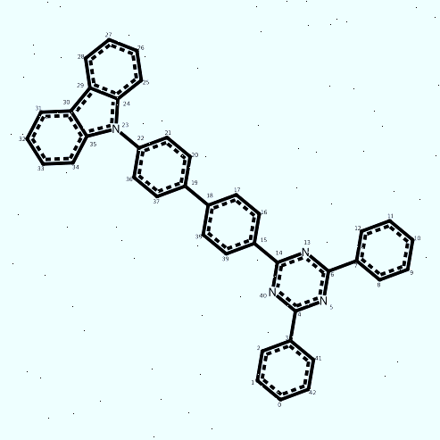 c1ccc(-c2nc(-c3ccccc3)nc(-c3ccc(-c4ccc(-n5c6ccccc6c6ccccc65)cc4)cc3)n2)cc1